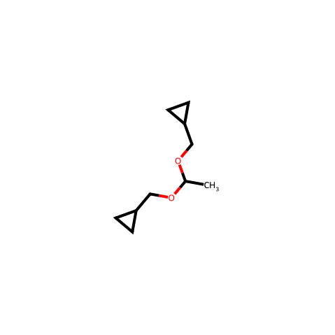 C[C](OCC1CC1)OCC1CC1